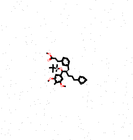 COC(=O)CCc1cccc(C[C@@H](CCCc2ccccc2)C(O[Si](C)(C)C(C)(C)C)c2cc(OC)c(C)c(OC)c2)c1